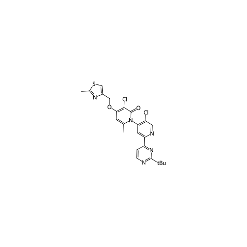 Cc1nc(COc2cc(C)n(-c3cc(-c4ccnc(C(C)(C)C)n4)ncc3Cl)c(=O)c2Cl)cs1